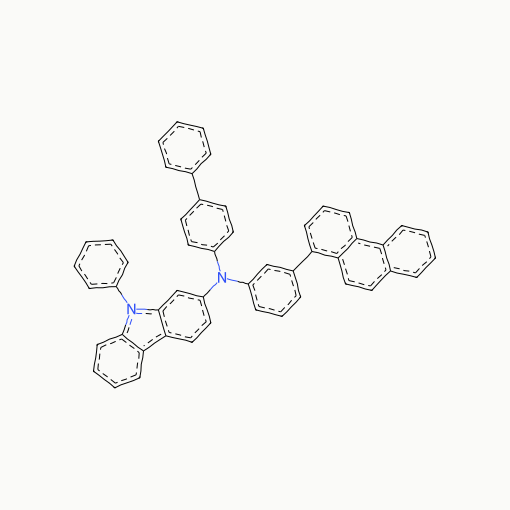 c1ccc(-c2ccc(N(c3cccc(-c4cccc5c4ccc4ccccc45)c3)c3ccc4c5ccccc5n(-c5ccccc5)c4c3)cc2)cc1